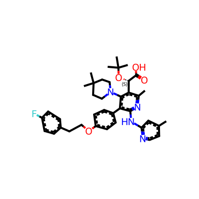 Cc1ccnc(Nc2nc(C)c([C@H](OC(C)(C)C)C(=O)O)c(N3CCC(C)(C)CC3)c2-c2ccc(OCCc3ccc(F)cc3)cc2)c1